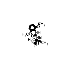 COc1cccc(OC)c1NC(=O)NC(C)(C(C)(F)F)C(F)(F)F